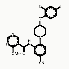 COc1ncncc1C(=O)Nc1cc(C#N)ccc1N1CCC(Oc2ccc(F)cc2F)CC1